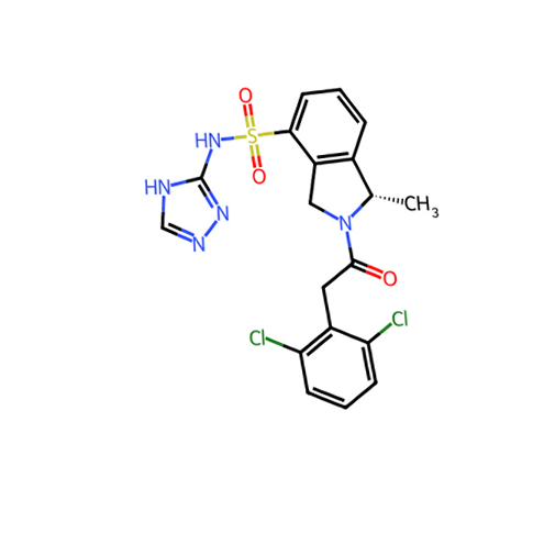 C[C@H]1c2cccc(S(=O)(=O)Nc3nnc[nH]3)c2CN1C(=O)Cc1c(Cl)cccc1Cl